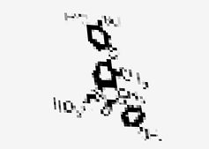 CCC(C)c1cc(Oc2ccc(N(CC(=O)O)C(=O)Oc3ccc(O)cc3)c(C)c2C)ccc1O